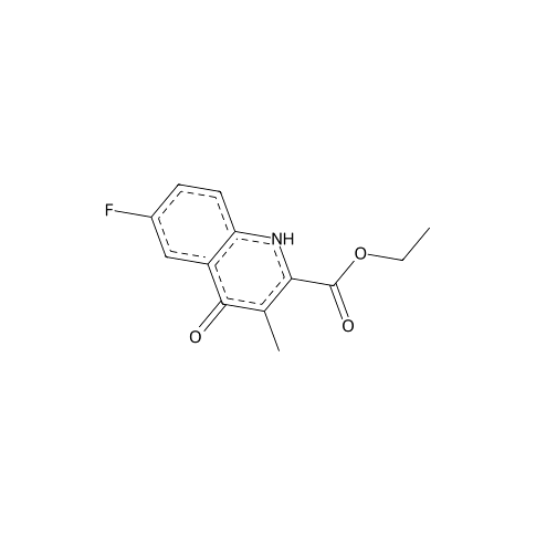 CCOC(=O)c1[nH]c2ccc(F)cc2c(=O)c1C